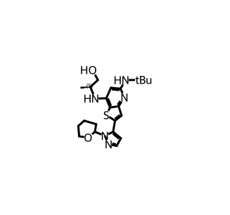 C[C@@H](CO)Nc1cc(NC(C)(C)C)nc2cc(-c3ccnn3C3CCCCO3)sc12